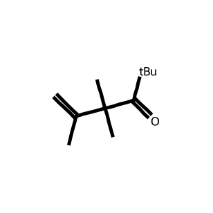 C=C(C)C(C)(C)C(=O)C(C)(C)C